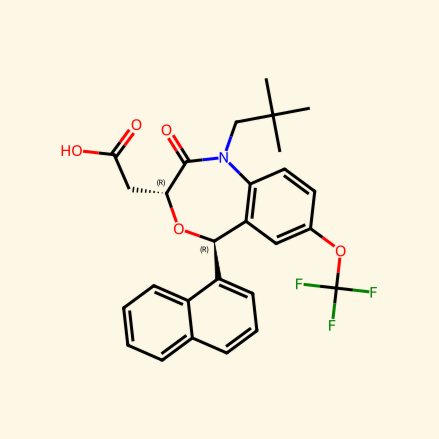 CC(C)(C)CN1C(=O)[C@@H](CC(=O)O)O[C@H](c2cccc3ccccc23)c2cc(OC(F)(F)F)ccc21